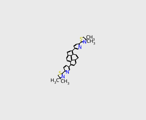 CC1(C)CSC(c2ccc(-c3ccc4ccc5c(-c6ccc(C7=NC(C)(C)CS7)nc6)ccc6ccc3c4c65)cn2)=N1